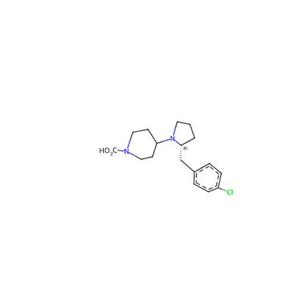 O=C(O)N1CCC(N2CCC[C@@H]2Cc2ccc(Cl)cc2)CC1